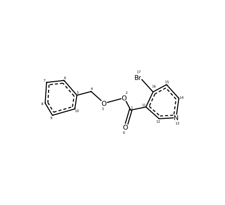 O=C(OOCc1ccccc1)c1cnccc1Br